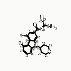 NC(N)=NC(=O)c1cc(F)c2c3c(F)cccc3n(C3CCOCC3)c2c1